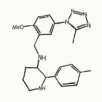 COc1ccc(-n2nnnc2C)cc1CNC1CCCNC1c1ccc(C)cc1